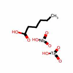 CCCCCC(=O)O.[O]=[Nb](=[O])[OH].[O]=[Ta](=[O])[OH]